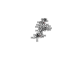 COC1OC(CO)C(O)C(OC2(C(=O)O)CC(O)C(C)C(C(O)[C@@H](O)CO)O2)C1OC1OC(CO)C(O)C(OC2OC(CO)C(OC3OC(COC4OC(CO)C(O)C(O)C4O)C(O)C(OC4OC(CO)C(OC)C(O)C4NC(C)=O)C3O)C(O)C2O)C1O